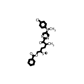 CC(CCC(COC(=O)c1ccccc1)[S+]=O)C(=O)c1ncc(N(C)c2ccc(Cl)cc2)cn1